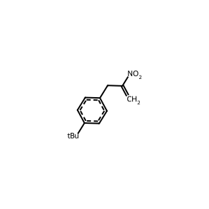 C=C(Cc1ccc(C(C)(C)C)cc1)[N+](=O)[O-]